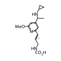 COc1cc(C(C)NC2CC2)cc(/C=C/CNC(=O)O)n1